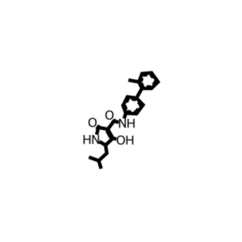 Cc1ccccc1-c1ccc(NC(=O)C2=C(O)C(CC(C)C)NC2=O)cc1